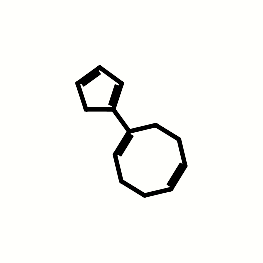 C1=CCC(/C2=C/CC/C=C\CC2)=C1